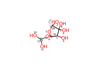 C[C@@]1(O)OC[C@H](O)C1(O)O.OB(O)O